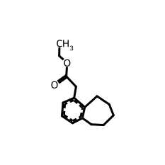 CCOC(=O)Cc1cccc2c1CCCCC2